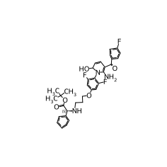 CC(C)(C)OC(=O)[C@@H](NCCCOc1cc(F)c(N2C(N)=C(C(=O)c3ccc(F)cc3)C=CC2O)c(F)c1)c1ccccc1